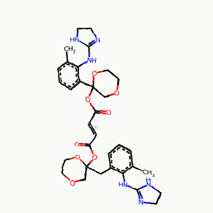 Cc1cccc(CC2(OC(=O)/C=C/C(=O)OC3(c4cccc(C)c4NC4=NCCN4)COCCO3)COCCO2)c1NC1=NCCN1